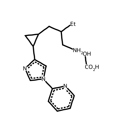 CCC(CN)CC1CC1c1cn(-c2ccccn2)cn1.O=C(O)O